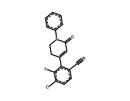 N#Cc1ccc(Cl)c(F)c1C1=CC(=O)N(c2[c]cccc2)CC1